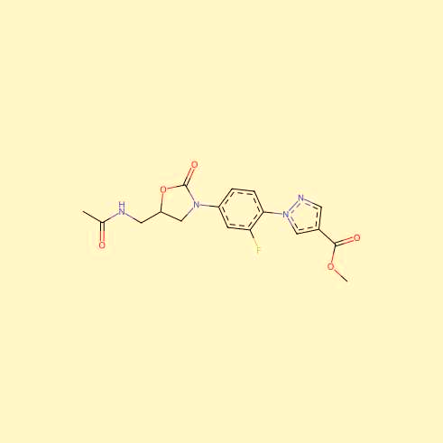 COC(=O)c1cnn(-c2ccc(N3CC(CNC(C)=O)OC3=O)cc2F)c1